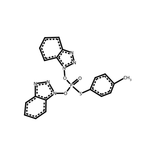 Cc1ccc(SP(=O)(On2nnc3ccccc32)On2nnc3ccccc32)cc1